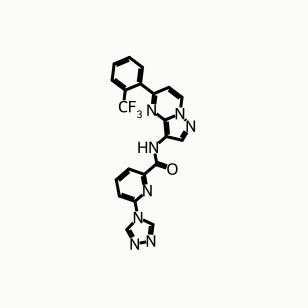 O=C(Nc1cnn2ccc(-c3ccccc3C(F)(F)F)nc12)c1cccc(-n2cnnc2)n1